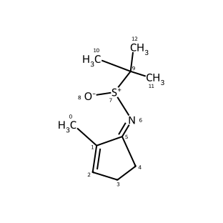 CC1=CCC/C1=N/[S+]([O-])C(C)(C)C